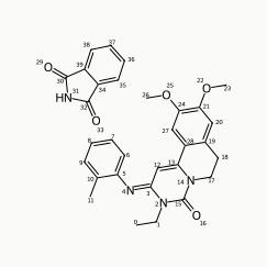 CCn1c(=Nc2ccccc2C)cc2n(c1=O)CCc1cc(OC)c(OC)cc1-2.O=C1NC(=O)c2ccccc21